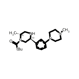 C[C@@H]1CN[C@@H](c2cccc(N3CCN(C)CC3)c2)CN1C(=O)C(C)(C)C